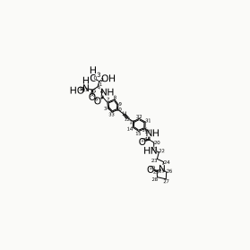 C[C@@H](O)[C@H](NC(=O)c1ccc(C#Cc2ccc(NC(=O)CNCCCN3CCCC3=O)cc2)cc1)C(=O)NO